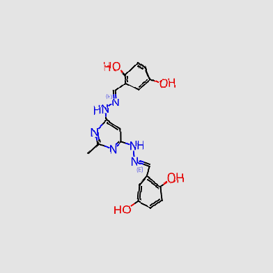 Cc1nc(N/N=C/c2cc(O)ccc2O)cc(N/N=C/c2cc(O)ccc2O)n1